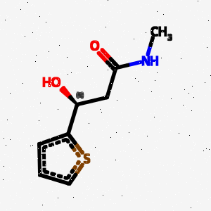 CNC(=O)C[C@H](O)c1cccs1